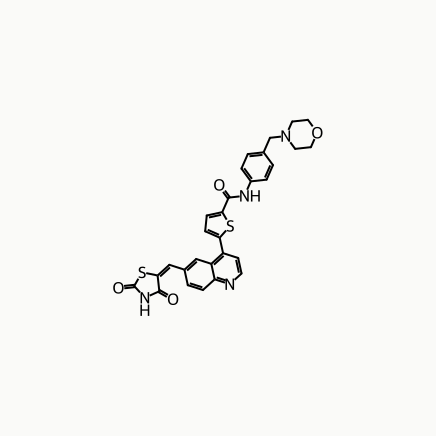 O=C1NC(=O)/C(=C\c2ccc3nccc(-c4ccc(C(=O)Nc5ccc(CN6CCOCC6)cc5)s4)c3c2)S1